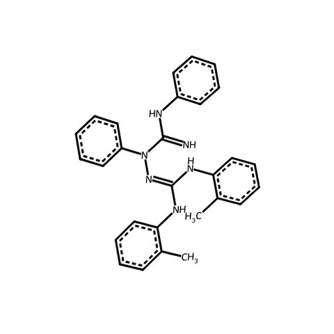 Cc1ccccc1NC(=NN(C(=N)Nc1ccccc1)c1ccccc1)Nc1ccccc1C